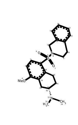 COc1ccc(S(=O)(=O)N2CCc3ccccc3C2)c2c1C[C@@H](N(C)C)CC2